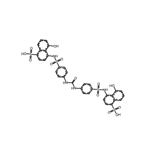 O=C(Nc1ccc(S(=O)(=O)Nc2ccc(S(=O)(=O)O)c3cccc(O)c23)cc1)Nc1ccc(S(=O)(=O)Nc2ccc(S(=O)(=O)O)c3cccc(O)c23)cc1